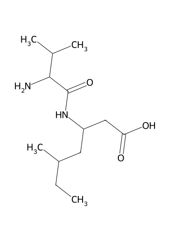 CCC(C)CC(CC(=O)O)NC(=O)C(N)C(C)C